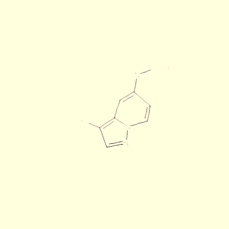 CC(=O)c1cnn2ccc(NC(=O)O)cc12